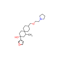 CC1CC(O)(c2ccoc2)CCC12CCC(COCCN1CCCC1)CC2